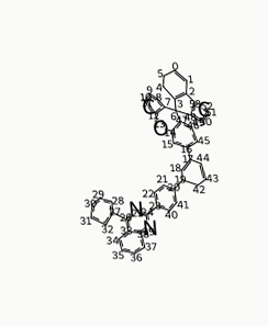 C1=CC2=C(CC1)C1(c3ccccc3Oc3cc(C4=CC(c5ccc(-c6nc(-c7ccccc7)c7ccccc7n6)cc5)CC=C4)ccc31)c1ccccc12